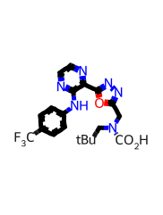 CC(C)(C)CN(Cc1nnc(-c2nccnc2Nc2ccc(C(F)(F)F)cc2)o1)C(=O)O